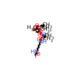 COC1C(OC(=O)N[C@@H](COC(=O)NCCCCCCNC(=O)CI)C(C)C)CC[C@]2(CO2)C1C1(C)O[C@@H]1CC=C(C)C